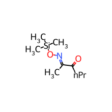 CCCC(=O)/C(C)=N/O[Si](C)(C)C